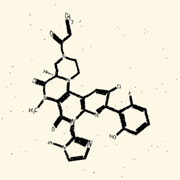 C=CC(=O)N1CCN2c3c(c(=O)n(-c4nccn4C(C)C)c4nc(-c5c(O)cccc5F)c(Cl)cc34)N(C)C(=O)[C@H]2C1